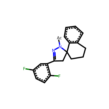 CC(=O)N1N=C(c2cc(F)ccc2F)CC12CCCc1ccccc12